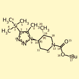 Cc1c([Si](C)(C)C)nnn1[C@@H]1CCN(C(=O)OC(C)(C)C)C[C@H]1C